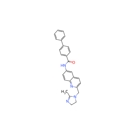 CC1=NCCN1Cc1ccc2cc(NC(=O)c3ccc(-c4ccccc4)cc3)ccc2n1